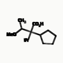 COC(C)C(C(=O)O)(C(C)C)C1CCCC1